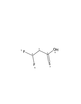 OC(=S)CC(F)F